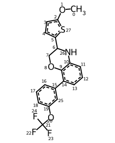 COc1ccc(C2COc3c(cccc3-c3cccc(OC(F)(F)F)c3)N2)s1